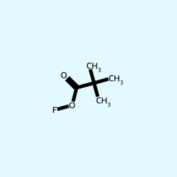 CC(C)(C)C(=O)OF